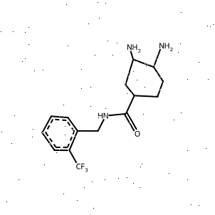 NC1CCC(C(=O)NCc2ccccc2C(F)(F)F)CC1N